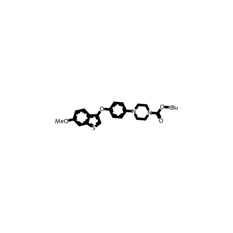 COc1ccc2c(Oc3ccc(N4CCN(C(=O)OC(C)(C)C)CC4)cc3)csc2c1